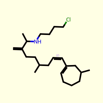 C=C(CCC(C)C/C=C\C1=CCCCC(C)C1)C(C)NCCCCCl